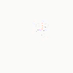 COC(=O)[C@H]1CCN(C(=O)[C@H](Nc2cccc(C(N)=O)c2)c2ccc(OC)c(OC)c2)[C@H]1c1cc(NC(C)=O)ccc1S(C)(=O)=O